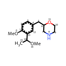 COc1ccc(CC2CNCCO2)cc1C(C)OC